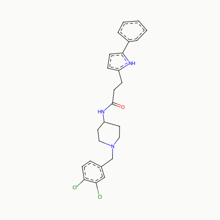 O=C(CCc1ccc(-c2ccccc2)[nH]1)NC1CCN(Cc2ccc(Cl)c(Cl)c2)CC1